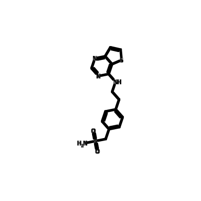 NS(=O)(=O)Cc1ccc(CCNc2ncnc3ccsc23)cc1